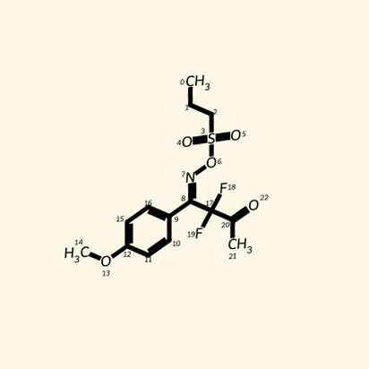 CCCS(=O)(=O)ON=C(c1ccc(OC)cc1)C(F)(F)C(C)=O